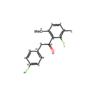 COc1ccc(C)c(F)c1C(=O)Cc1ccc(F)cc1